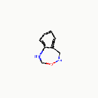 c1ccc2c(c1)CNOCN2